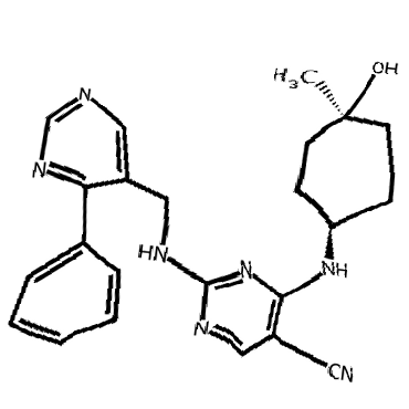 C[C@]1(O)CC[C@@H](Nc2nc(NCc3cncnc3-c3ccccc3)ncc2C#N)CC1